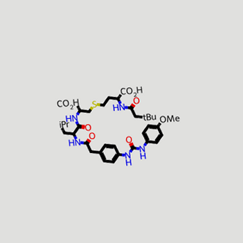 COc1ccc(NC(=O)Nc2ccc(CC(=O)NC(CC(C)C)C(=O)NC(CSCCC(NC(=O)CC(C)(C)C)C(=O)O)C(=O)O)cc2)cc1